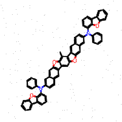 Cc1c2oc3cc4cc(N(c5ccccc5)c5cccc6c5oc5ccccc56)ccc4cc3c2cc2oc3cc4cc(N(c5ccccc5)c5cccc6c5oc5ccccc56)ccc4cc3c12